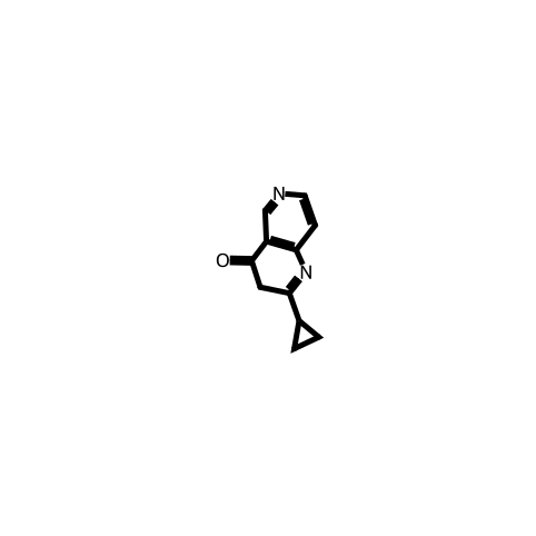 O=C1CC(C2CC2)=Nc2ccncc21